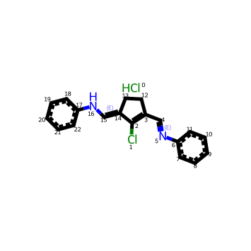 Cl.ClC1=C(/C=N/c2ccccc2)CC/C1=C\Nc1ccccc1